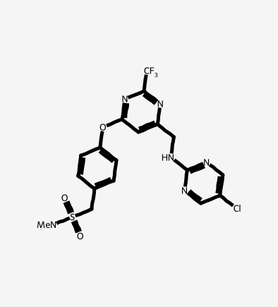 CNS(=O)(=O)Cc1ccc(Oc2cc(CNc3ncc(Cl)cn3)nc(C(F)(F)F)n2)cc1